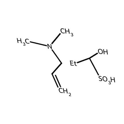 C=CCN(C)C.CCC(O)S(=O)(=O)O